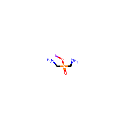 NCP(=O)(CN)OI